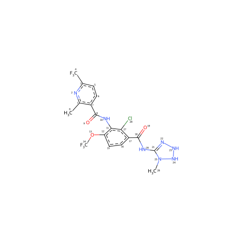 Cc1nc(C(F)(F)F)ccc1C(=O)Nc1c(OC(F)(F)F)ccc(C(=O)NC2=NNNN2C)c1Cl